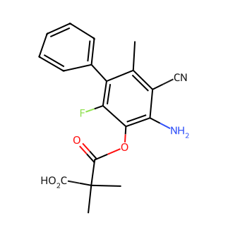 Cc1c(C#N)c(N)c(OC(=O)C(C)(C)C(=O)O)c(F)c1-c1ccccc1